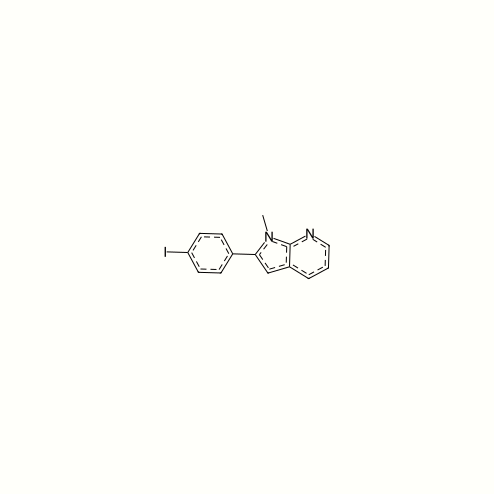 Cn1c(-c2ccc(I)cc2)cc2cccnc21